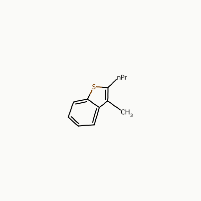 CCCc1sc2ccccc2c1C